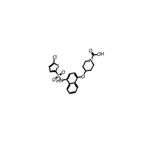 O=C(O)N1CCC(Oc2ccc(NS(=O)(=O)c3ccc(Cl)s3)c3ccccc23)CC1